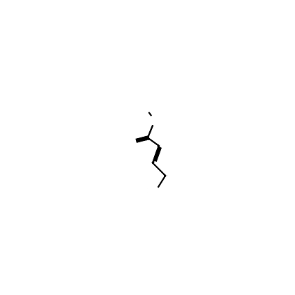 CCCCCCC/C=C/C(=O)OCCCC